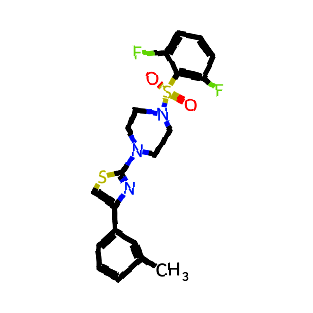 Cc1cccc(-c2csc(N3CCN(S(=O)(=O)c4c(F)cccc4F)CC3)n2)c1